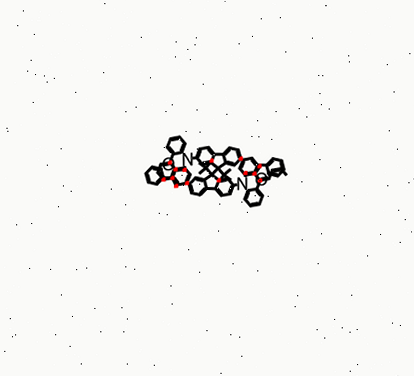 C=C(C)/C(=C\C=C/C)c1ccccc1N(c1ccc2c(c1)C(C(C)(C)C)(C1(C(C)(C)C)c3ccccc3-c3ccc(N(c4ccccc4-c4cccc(C)c4C)c4cccc5c4oc4ccccc45)cc31)c1ccccc1-2)c1cccc2c1oc1ccccc12